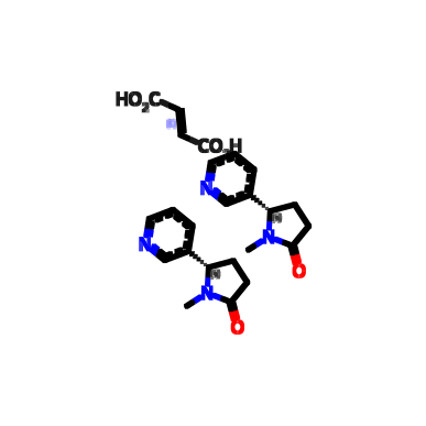 CN1C(=O)CC[C@H]1c1cccnc1.CN1C(=O)CC[C@H]1c1cccnc1.O=C(O)/C=C/C(=O)O